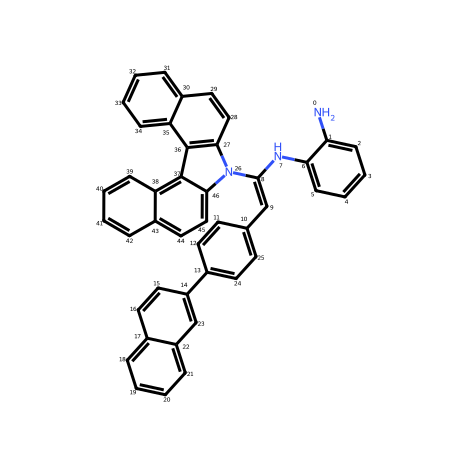 Nc1ccccc1N/C(=C/c1ccc(-c2ccc3ccccc3c2)cc1)n1c2ccc3ccccc3c2c2c3ccccc3ccc21